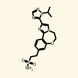 CC(C)n1ncnc1-c1cn2c(n1)-c1ccc(CCS(N)(=O)=O)cc1OCC2